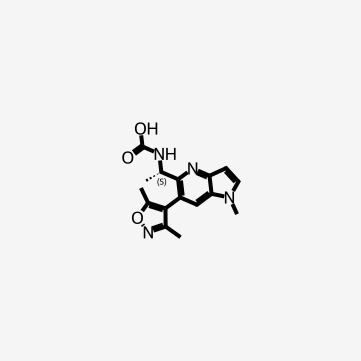 Cc1noc(C)c1-c1cc2c(ccn2C)nc1[C@H](C)NC(=O)O